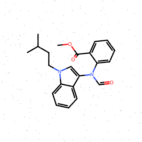 COC(=O)c1ccccc1N(C=O)c1cn(CCC(C)C)c2ccccc12